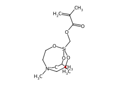 C=C(C)C(=O)OC[Si]12OCC[N+](C)(CC(C)O1)CC(C)O2